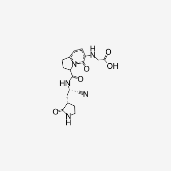 N#C[C@H](C[C@@H]1CCNC1=O)NC(=O)C1CCc2ccc(NCC(=O)O)c(=O)n21